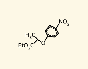 CCOC(=O)C(C)Oc1ccc([N+](=O)[O-])cc1